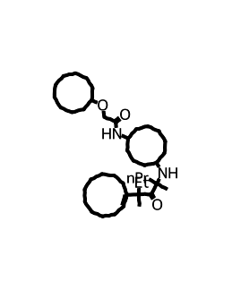 CCCC(C)(NC1CCCCCC(NC(=O)COC2CCCCCCCCC2)CCC1)C(=O)C(C)(CC)/C1=C/CCCCCCCCC1